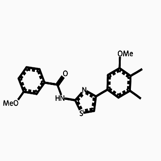 COc1cccc(C(=O)Nc2nc(-c3cc(C)c(C)c(OC)c3)cs2)c1